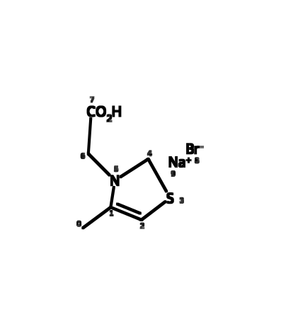 CC1=CSCN1CC(=O)O.[Br-].[Na+]